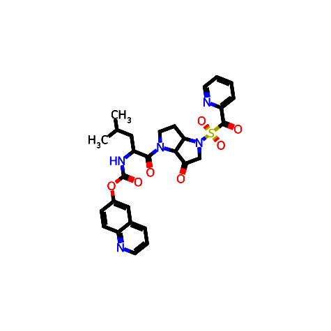 CC(C)CC(NC(=O)Oc1ccc2ncccc2c1)C(=O)N1CCC2C1C(=O)CN2S(=O)(=O)C(=O)c1ccccn1